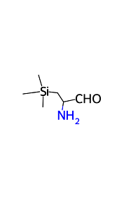 C[Si](C)(C)CC(N)C=O